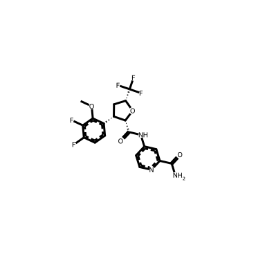 COc1c([C@@H]2C[C@H](C(F)(F)F)O[C@@H]2C(=O)Nc2ccnc(C(N)=O)c2)ccc(F)c1F